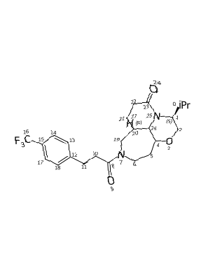 CC(C)[C@H]1COC2CCN(C(=O)CCc3ccc(C(F)(F)F)cc3)C[C@H]3CCC(=O)N1C23